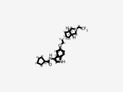 O=C(Nc1c[nH]c2ccc(OCC[C@@H]3C[C@@H]4CN(CC(F)(F)F)C[C@@H]4C3)cc12)C1CCCC1